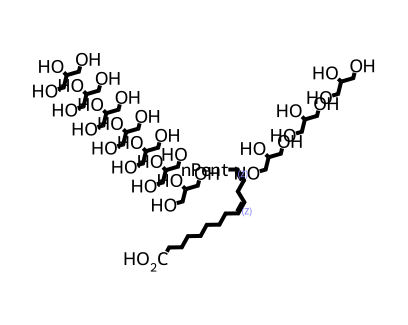 CCCCC/C=C\C/C=C\CCCCCCCC(=O)O.OCC(O)CO.OCC(O)CO.OCC(O)CO.OCC(O)CO.OCC(O)CO.OCC(O)CO.OCC(O)CO.OCC(O)CO.OCC(O)CO.OCC(O)CO